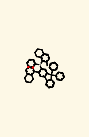 Cc1ccc2c(c1N(c1ccccc1)c1cc3c(cc1-c1cccc4c1CCCC4)-c1ccccc1C3(c1ccccc1)c1ccccc1)CCCC2